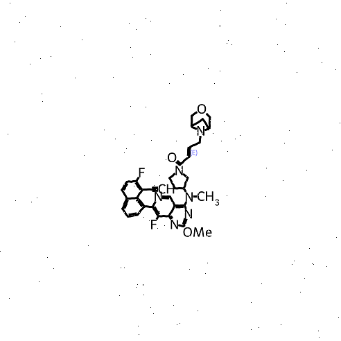 C#Cc1c(F)ccc2cccc(-c3ncc4c(N(C)C5CCN(C(=O)/C=C/CN6C7COCC6C7)C5)nc(OC)nc4c3F)c12